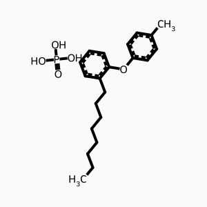 CCCCCCCCc1ccccc1Oc1ccc(C)cc1.O=P(O)(O)O